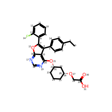 CCc1ccc(-c2c(-c3ccccc3F)oc3ncnc(O[C@H]4CCC[C@@H](OCC(=O)O)C4)c23)cc1